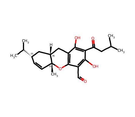 CC(C)CC(=O)c1c(O)c(C=O)c2c(c1O)C[C@H]1C[C@@H](C(C)C)C=C[C@@]1(C)O2